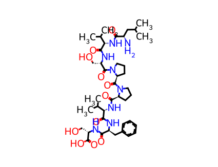 CC(C)C[C@H](N)C(=O)N[C@H](C(=O)N[C@@H](CO)C(=O)N1CCC[C@H]1C(=O)N1CCC[C@H]1C(=O)N[C@H](C(=O)N[C@@H](Cc1ccccc1)C(=O)N[C@@H](CO)C(=O)O)C(C)C)C(C)C